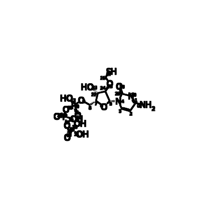 Nc1ccn([C@@H]2O[C@H](COP(=O)(O)OP(=O)(O)OP(=O)(O)O)[C@H](O)[C@H]2OCS)c(=O)n1